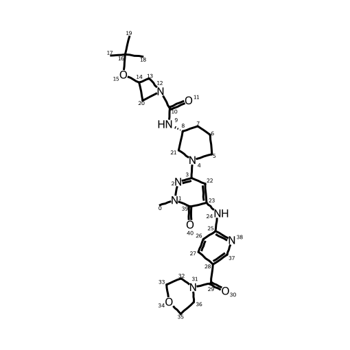 Cn1nc(N2CCC[C@@H](NC(=O)N3CC(OC(C)(C)C)C3)C2)cc(Nc2ccc(C(=O)N3CCOCC3)cn2)c1=O